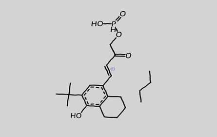 CC(C)(C)c1cc(/C=C/C(=O)CO[PH](=O)O)c2c(c1O)CCCC2.CCCC